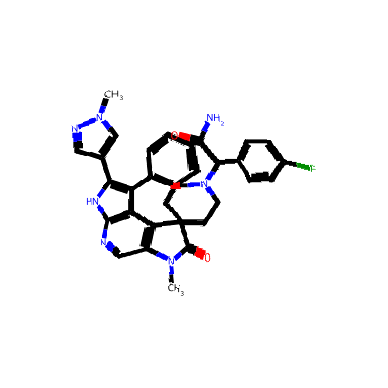 CN1C(=O)C2(CCN(C(C(N)=O)c3ccc(F)cc3)CC2)c2c1cnc1[nH]c(-c3cnn(C)c3)c(-c3ccccc3)c21